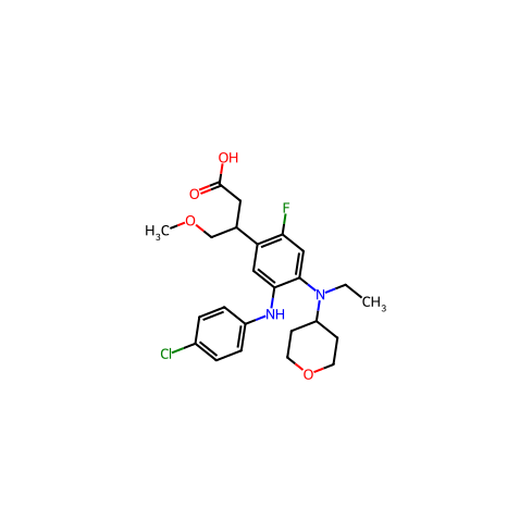 CCN(c1cc(F)c(C(COC)CC(=O)O)cc1Nc1ccc(Cl)cc1)C1CCOCC1